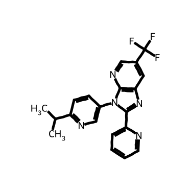 CC(C)c1ccc(-n2c(-c3ccccn3)nc3cc(C(F)(F)F)cnc32)cn1